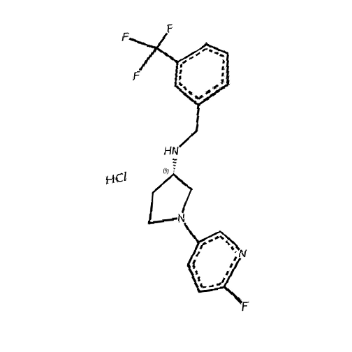 Cl.Fc1ccc(N2CC[C@H](NCc3cccc(C(F)(F)F)c3)C2)cn1